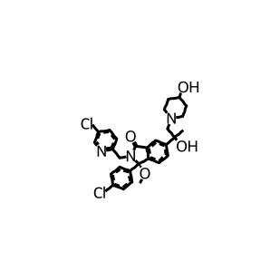 CO[C@]1(c2ccc(Cl)cc2)c2ccc(C(C)(O)CN3CCC(O)CC3)cc2C(=O)N1Cc1ccc(Cl)cn1